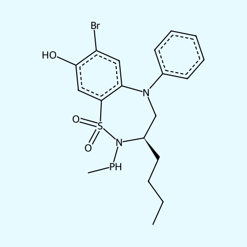 CCCC[C@@H]1CN(c2ccccc2)c2cc(Br)c(O)cc2S(=O)(=O)N1PC